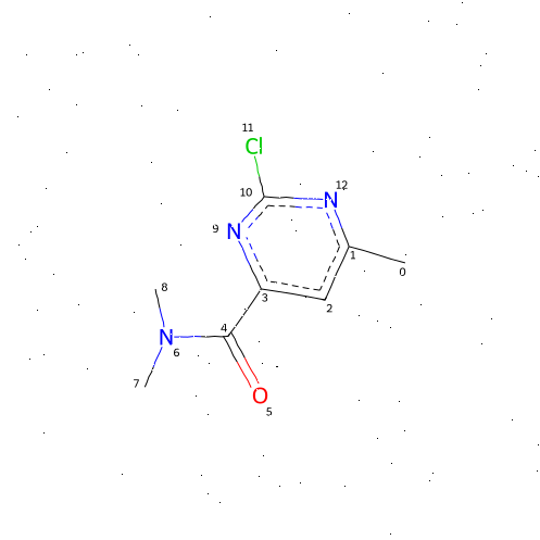 Cc1cc(C(=O)N(C)C)nc(Cl)n1